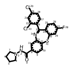 O=C(NN1CCCC1)c1ccc2c(c1)N=C(c1ccc(Cl)cc1Cl)c1ccc(F)cc1S2